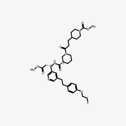 CC(C)(C)OC(=O)C[C@H](NC(=O)[C@@H]1CCCN(C(=O)CCC2CCN(C(=O)OC(C)(C)C)CC2)C1)c1cncc(CCc2ccc(OCCF)cc2)c1